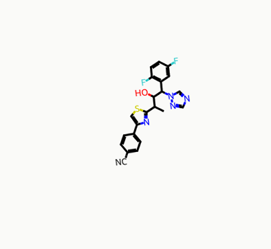 CC(c1nc(-c2ccc(C#N)cc2)cs1)C(O)C(c1cc(F)ccc1F)n1cncn1